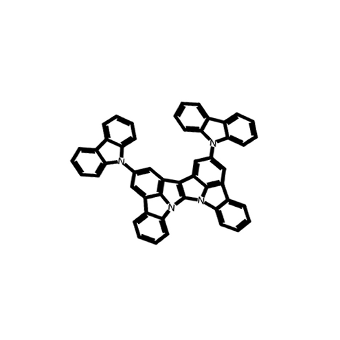 c1ccc2c(c1)c1ccccc1n2-c1cc2c3ccccc3n3c2c(c1)c1c2cc(-n4c5ccccc5c5ccccc54)cc4c5ccccc5n(c42)c13